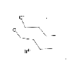 CCCC[O-].CCCC[O-].[Ti+4]